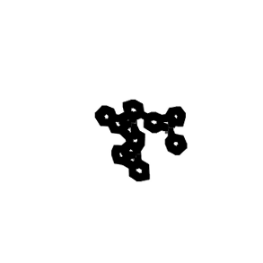 c1ccc(-n2c3ccccc3c3cc(-c4cccc5c6c7ccccc7cc7c8c9c%10cccc%11c%12ccccc%12n(c9ccc8n(c45)c76)c%11%10)ccc32)cc1